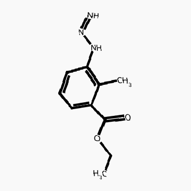 CCOC(=O)c1cccc(NN=N)c1C